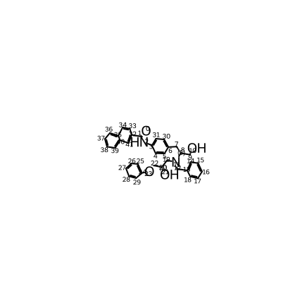 O=C(Nc1ccc(C[C@@H](CO)N(Cc2ccccc2)C[C@H](O)COc2ccccc2)cc1)c1ccc2ccccc2c1